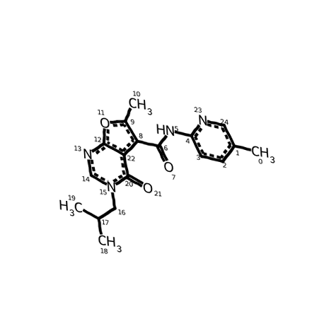 Cc1ccc(NC(=O)c2c(C)oc3ncn(CC(C)C)c(=O)c23)nc1